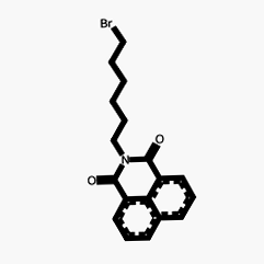 O=C1c2cccc3cccc(c23)C(=O)N1CCCCCCBr